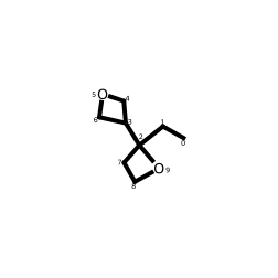 CCC1(C2COC2)CCO1